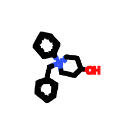 OC1CC[N+](Cc2ccccc2)(c2ccccc2)CC1